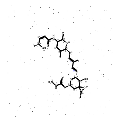 CC(/C=C/[C@H]1O[C@H](CC(=O)NN)CC2(OC2C)[C@@H]1O)=C\C[C@@H]1OC(C)C(NC(=O)/C=C\[C@H](C)O)CC1C